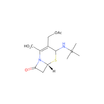 CC(=O)OCC1=C(C(=O)O)N2C(=O)C[C@H]2SC1N[Si](C)(C)C